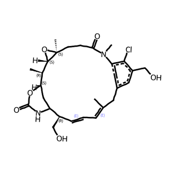 C/C1=C\C=C\[C@@H](CO)C2C[C@H](OC(=O)N2)[C@@H](C)[C@@H]2O[C@@]2(C)CCC(=O)N(C)c2cc(cc(CO)c2Cl)C1